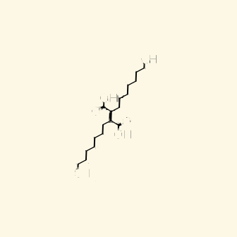 CCCCCCCC/C(C(=O)O)=C(/CCCCCCCC)C(=O)O